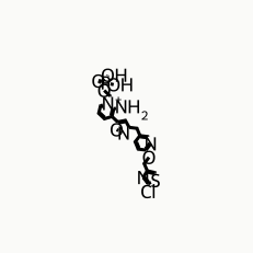 Nc1c(-c2cc(Cc3ccc(OCc4csc(Cl)n4)nc3)no2)ccc[n+]1COP(=O)(O)O